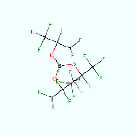 FC(F)C(F)(OB(OC(F)(C(F)F)C(F)(F)F)OC(F)(C(F)F)C(F)(F)F)C(F)(F)F